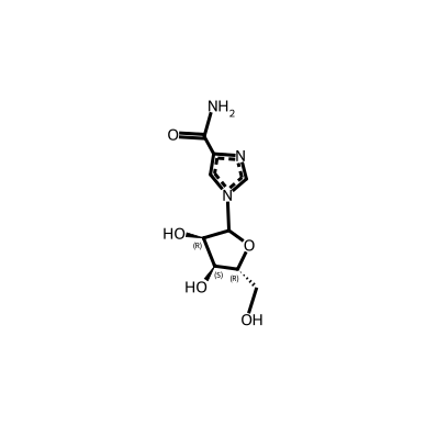 NC(=O)c1cn(C2O[C@H](CO)[C@@H](O)[C@H]2O)cn1